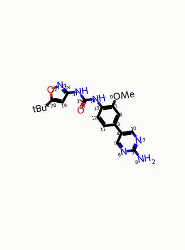 COc1cc(-c2cnc(N)nc2)ccc1NC(=O)Nc1cc(C(C)(C)C)on1